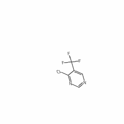 FC(F)(F)c1cncnc1Cl